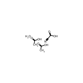 CC(=O)O.CC(=O)O.N#CC(=O)O.O